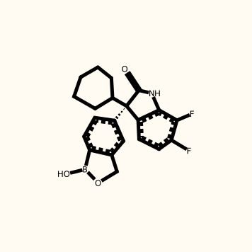 O=C1Nc2c(ccc(F)c2F)[C@@]1(c1ccc2c(c1)COB2O)C1CCCCC1